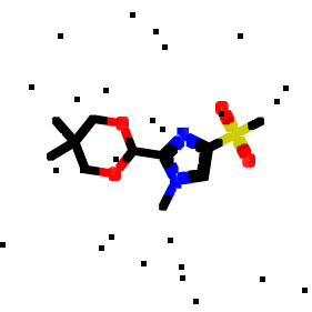 Cn1cc(S(C)(=O)=O)nc1C1OCC(C)(C)CO1